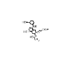 C#Cc1cccc(Nc2ncnc3cc(OC(C)O)c(OCCOC)cc23)c1.Cl